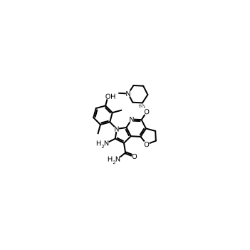 Cc1ccc(O)c(C)c1-n1c(N)c(C(N)=O)c2c3c(c(O[C@H]4CCCN(C)C4)nc21)CCO3